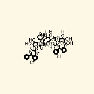 C1CCNOCC1.CN1C(=O)C(OC2O[C@H](C(=O)O)[C@@H](O)[C@H](O)[C@H]2O)N=C(c2ccccc2)c2cc(Cl)ccc21.O=C(O)[C@H]1OC(O)[C@H](O)[C@@H](O)[C@@H]1O.O=C1Nc2ccc(Cl)cc2C(c2ccccc2Cl)=NC1OC1O[C@H](C(=O)O)[C@@H](O)[C@H](O)[C@H]1O